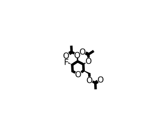 CC(=O)OC[C@H]1OC[C@H](F)[C@@H](OC(C)=O)[C@@H]1OC(C)=O